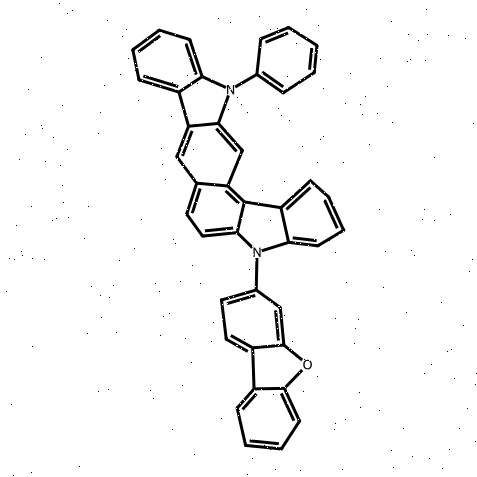 c1ccc(-n2c3ccccc3c3cc4ccc5c(c4cc32)c2ccccc2n5-c2ccc3c(c2)oc2ccccc23)cc1